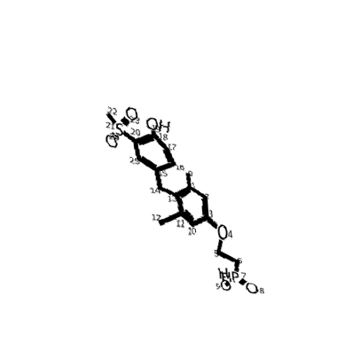 Cc1cc(OCC[PH](=O)O)cc(C)c1Cc1ccc(O)c(S(C)(=O)=O)c1